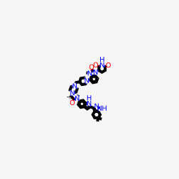 C[C@@H](C(=O)N(C)c1ccc2cc(-c3n[nH]c4c3CCC(C)(C)C4)[nH]c2c1)N1CCN(CC2CCN(c3cccc4c3n(C)c(=O)n4C3CCC(=O)NC3=O)CC2)CC1